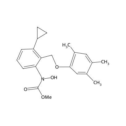 COC(=O)N(O)c1cccc(C2CC2)c1COc1cc(C)c(C)cc1C